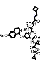 C=C[C@@H]1C[C@]1(NC(=O)[C@@H]1C[C@@H](Oc2nccc3cc(OC)ccc23)CN1C(=O)[C@H](CCC(=O)/C=C/C1CCC1)N(C(=O)O)C(C)(C)C)C(=O)NS(=O)(=O)C1CC1